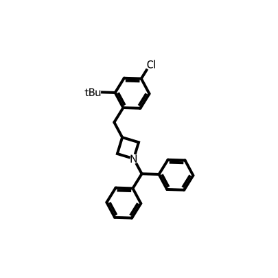 CC(C)(C)c1cc(Cl)ccc1CC1CN(C(c2ccccc2)c2ccccc2)C1